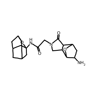 NC1CC2OC1C1CN(CC(=O)NC34CC5CC(CC(C5)O3)C4)C(=O)C21